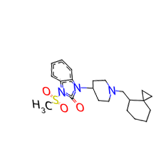 CS(=O)(=O)n1c(=O)n(C2CCN(CC3CCCCC34CC4)CC2)c2ccccc21